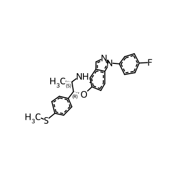 CSc1ccc([C@@H](Oc2ccc3c(cnn3-c3ccc(F)cc3)c2)[C@H](C)N)cc1